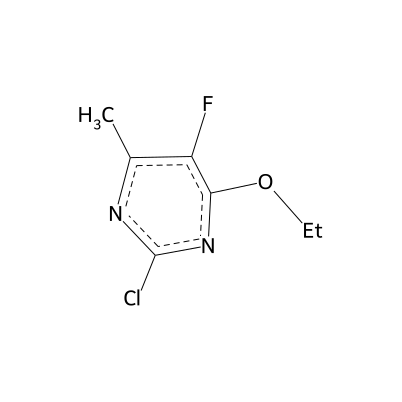 CCOc1nc(Cl)nc(C)c1F